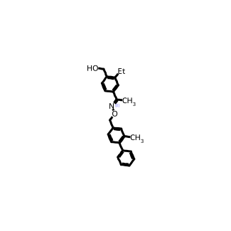 CCc1cc(/C(C)=N/OCc2ccc(-c3ccccc3)c(C)c2)ccc1CO